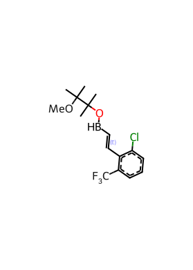 COC(C)(C)C(C)(C)OB/C=C/c1c(Cl)cccc1C(F)(F)F